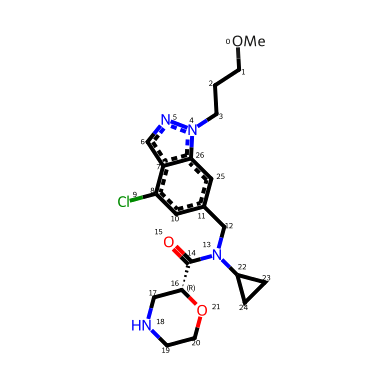 COCCCn1ncc2c(Cl)cc(CN(C(=O)[C@H]3CNCCO3)C3CC3)cc21